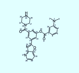 CN(C)c1cccc(C(=O)Oc2cc(C(=O)N3CCNCC3)cc(-c3nc4ncccc4o3)c2)c1